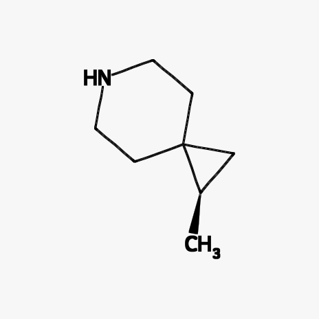 C[C@@H]1CC12CCNCC2